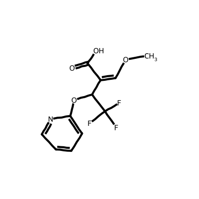 COC=C(C(=O)O)C(Oc1ccccn1)C(F)(F)F